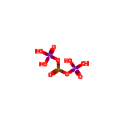 O=S(OP(=O)(O)O)OP(=O)(O)O